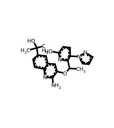 CC(Oc1cc2cc(C(C)(C)O)ccc2nc1N)c1nc(O)ccc1-n1cccn1